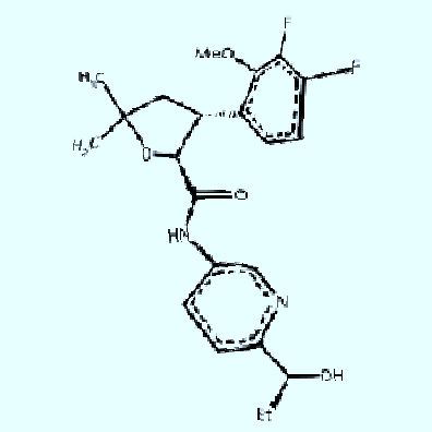 CC[C@H](O)c1ccc(NC(=O)[C@H]2OC(C)(C)C[C@@H]2c2ccc(F)c(F)c2OC)cn1